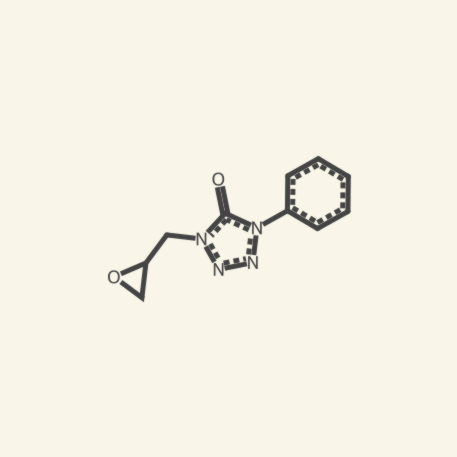 O=c1n(CC2CO2)nnn1-c1ccccc1